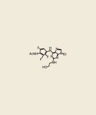 CCn1cnc2c(Nc3cc(F)c(NC(C)=O)c(F)c3F)nc(NCCO)nc21